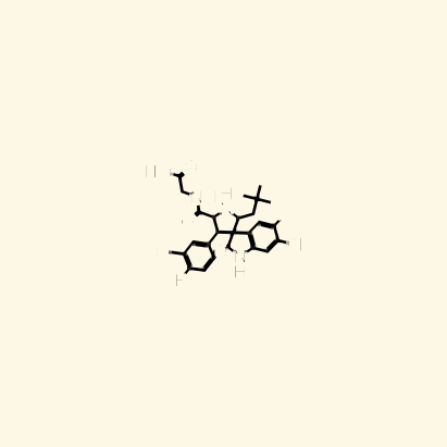 CC(C)(C)CC1NC(C(=O)NCC(=O)O)C(c2ccc(F)c(Cl)c2)C12C(=O)Nc1cc(Cl)c(F)cc12